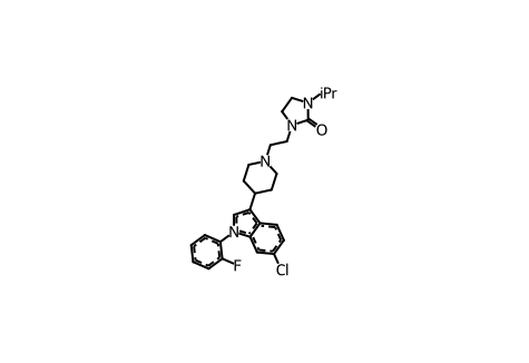 CC(C)N1CCN(CCN2CCC(c3cn(-c4ccccc4F)c4cc(Cl)ccc34)CC2)C1=O